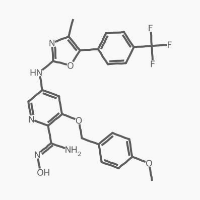 COc1ccc(COc2cc(Nc3nc(C)c(-c4ccc(C(F)(F)F)cc4)o3)cnc2/C(N)=N/O)cc1